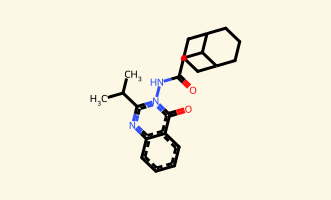 CC(C)c1nc2ccccc2c(=O)n1NC(=O)CC1C2CCCC1CCC2